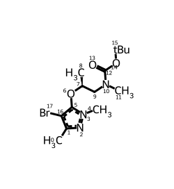 Cc1nn(C)c(O[C@@H](C)CN(C)C(=O)OC(C)(C)C)c1Br